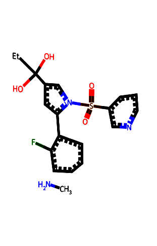 CCC(O)(O)c1cc(-c2ccccc2F)n(S(=O)(=O)c2cccnc2)c1.CN